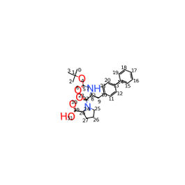 CC(C)(C)OC(=O)N[C@@H](Cc1ccc(-c2ccccc2)cc1)C(=O)N1CCCC1C(=O)O